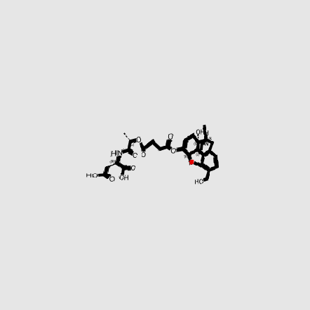 C[C@H](OC(=O)CCC(=O)OC1=CC[C@@]2(O)[C@H]3Cc4ccc(CO)c5c4[C@@]2(CCN3C)[C@H]1O5)C(=O)N[C@H](CC(=O)O)C(=O)O